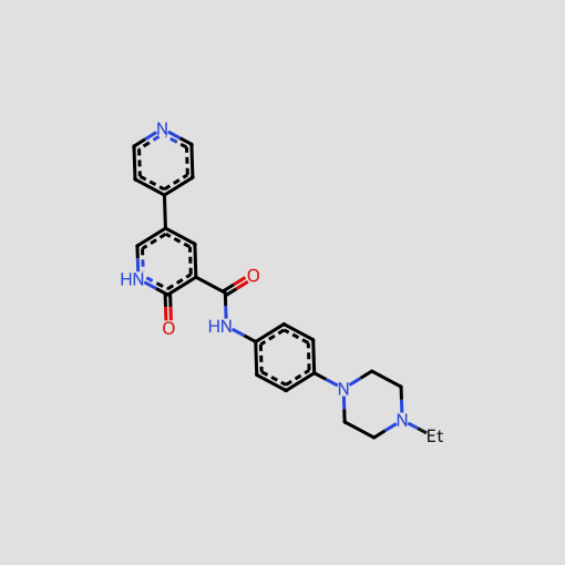 CCN1CCN(c2ccc(NC(=O)c3cc(-c4ccncc4)c[nH]c3=O)cc2)CC1